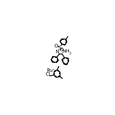 Cc1cc(C)cc(C)c1.Cc1ccc(S(=O)(=O)[N-][C@H](c2ccccc2)[C@H](N)c2ccccc2)cc1.[Cl][Ru+]